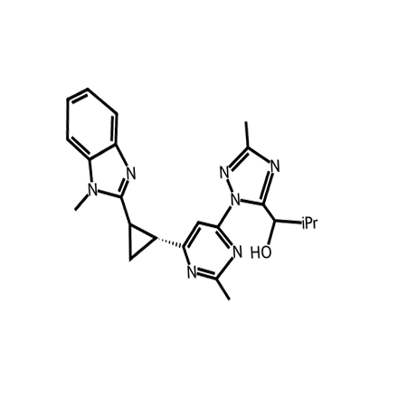 Cc1nc([C@@H]2CC2c2nc3ccccc3n2C)cc(-n2nc(C)nc2C(O)C(C)C)n1